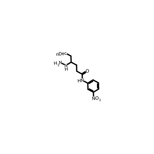 CCCCCCCCCCCC(CCC(=O)Nc1cccc([N+](=O)[O-])c1)NN